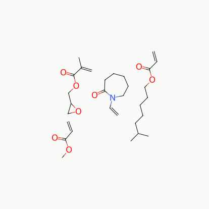 C=C(C)C(=O)OCC1CO1.C=CC(=O)OC.C=CC(=O)OCCCCCC(C)C.C=CN1CCCCCC1=O